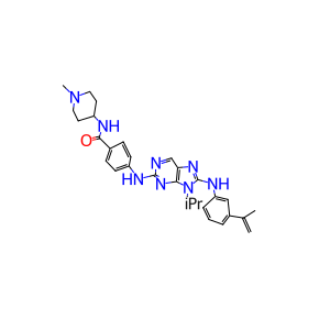 C=C(C)c1cccc(Nc2nc3cnc(Nc4ccc(C(=O)NC5CCN(C)CC5)cc4)nc3n2C(C)C)c1